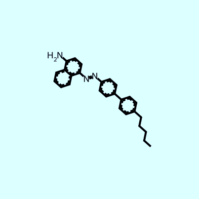 CCCCCc1ccc(-c2ccc(/N=N/c3ccc(N)c4ccccc34)cc2)cc1